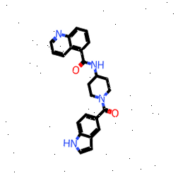 O=C(NC1CCN(C(=O)c2ccc3[nH]ccc3c2)CC1)c1cccc2ncccc12